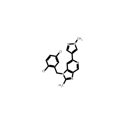 Cc1nc2cnc(-c3cnn(C)c3)cc2n1Cc1cc(Cl)ccc1Cl